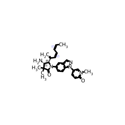 C=C(/C=C\C=C/C)[C@@H]1[C@@H](N)C(C)(C)C(=O)N1c1ccc2c(cnn2-c2ccc(=O)n(C)c2)c1